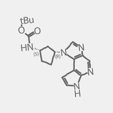 CC(C)(C)OC(=O)N[C@H]1CC[C@@H](n2cnc3cnc4[nH]ccc4c32)C1